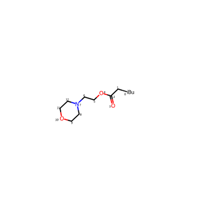 CCC(C)CC(=O)OCCN1CCOCC1